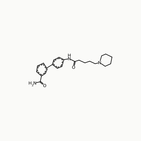 NC(=O)c1cccc(-c2ccc(NC(=O)CCCCN3CCCCC3)cc2)c1